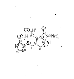 NC1C(=O)N2C(OC(=O)O)=C(CSc3scnc3C(=O)O)CS[C@@H]12